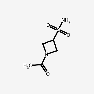 CC(=O)N1CC(S(N)(=O)=O)C1